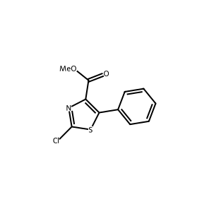 COC(=O)c1nc(Cl)sc1-c1ccccc1